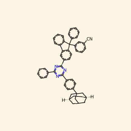 N#Cc1cccc(C2(c3ccccc3)c3ccccc3-c3cc(-c4nc(-c5ccccc5)nc(-c5ccc(C67CC8C[C@H](C6)C[C@@H](C8)C7)cc5)n4)ccc32)c1